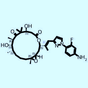 C/C(=C\c1ccn(-c2ccc(N)cc2F)n1)[C@@H]1C[C@@H]2O[C@]2(C)CCC[C@H](C)[C@H](O)[C@@H](C)C(=O)C(C)(C)[C@@H](O)CC(=O)O1